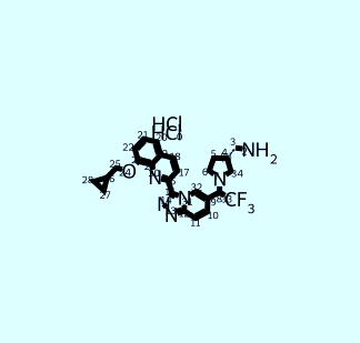 Cl.Cl.NC[C@H]1CCN(C(c2ccc3nnc(-c4ccc5cccc(OCC6CC6)c5n4)n3c2)C(F)(F)F)C1